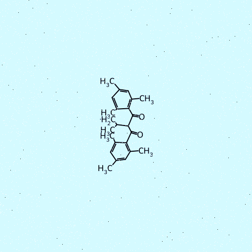 [CH2]C(C)C(C(=O)c1c(C)cc(C)cc1C)C(=O)c1c(C)cc(C)cc1C